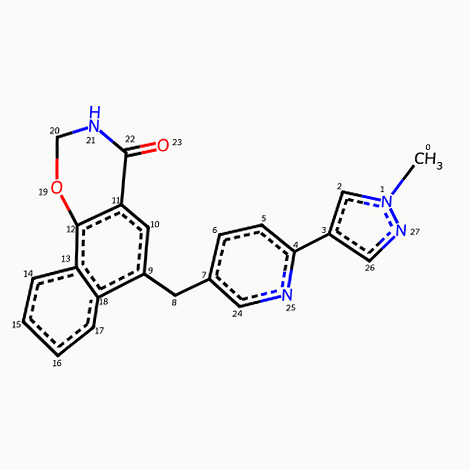 Cn1cc(-c2ccc(Cc3cc4c(c5ccccc35)OCNC4=O)cn2)cn1